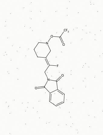 O=C1c2ccccc2C(=O)N1C/C(F)=C1\CCCN(OC(=O)C(F)(F)F)C1